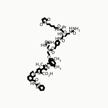 Cc1c(-c2ccc(N3CCc4cccc(C(=O)Nc5nc6ccccc6s5)c4C3)nc2C(=O)O)cnn1CC12CC3(C)CC(C)(C1)CC(OCCN(CCP(=O)(O)O)C(=O)OCc1ccc(NC(=O)[C@H](CCCNC(N)=O)NC(=O)[C@@H](NC(=O)CCCCCN4C(=O)C=CC4=O)C(C)C)cc1)(C3)C2